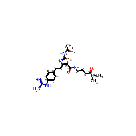 CC(=O)Nc1nc(CCc2ccc(NC(=N)N)cc2)c(C(=O)NCCCC(=O)N(C)C)s1